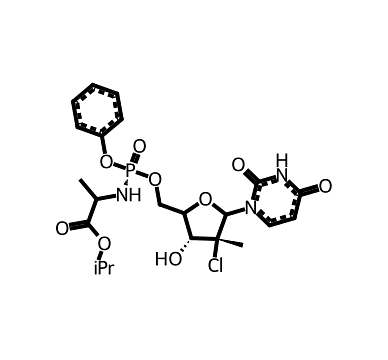 CC(C)OC(=O)C(C)N[P@](=O)(OCC1OC(n2ccc(=O)[nH]c2=O)[C@](C)(Cl)[C@@H]1O)Oc1ccccc1